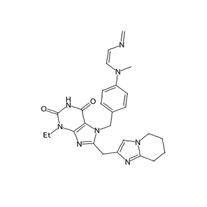 C=N/C=C\N(C)c1ccc(Cn2c(Cc3cn4c(n3)CCCC4)nc3c2c(=O)[nH]c(=O)n3CC)cc1